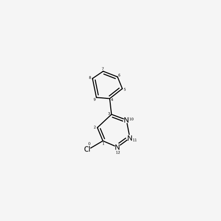 Clc1cc(-c2ccccc2)nnn1